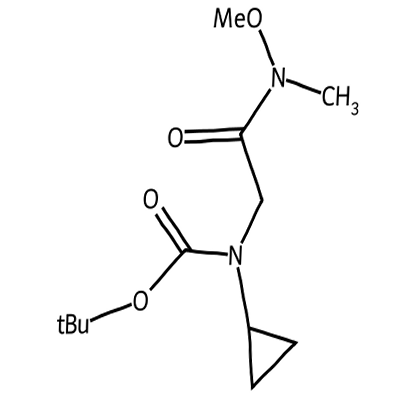 CON(C)C(=O)CN(C(=O)OC(C)(C)C)C1CC1